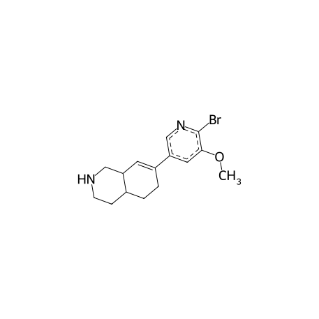 COc1cc(C2=CC3CNCCC3CC2)cnc1Br